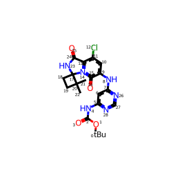 CC(C)(C)OC(=O)Nc1cc(Nc2cc(Cl)c3n(c2=O)C2(CCC2(C)C)NC3=O)ncn1